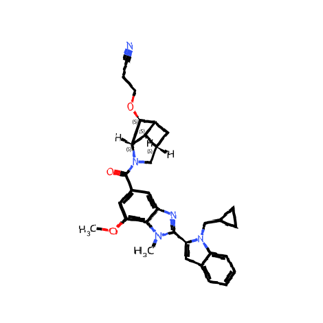 COc1cc(C(=O)N2C[C@H]3CC4[C@H]3[C@H]2[C@H]4OCCC#N)cc2nc(-c3cc4ccccc4n3CC3CC3)n(C)c12